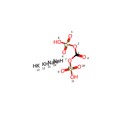 O=C(OS(=O)(=O)O)OS(=O)(=O)O.[KH].[KH].[NaH].[NaH]